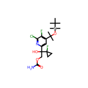 CC(C)(O[Si](C)(C)C(C)(C)C)c1cc(C(O)(COC(N)=O)C2(F)CC2)nc(Cl)c1F